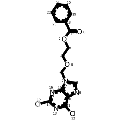 O=C(OCCOCn1cnc2c(Cl)nc(Cl)nc21)c1ccccc1